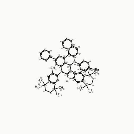 Cc1cc2c(cc1N1c3cc(-c4ccccc4)cc4c3B(c3c1sc1cc5c(cc31)C(C)(C)CCC5(C)C)N(c1ccc(C(C)(C)C)cc1)c1ccc3ccccc3c1-4)C(C)(C)CCC2(C)C